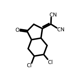 N#CC(C#N)=C1CC(=O)C2CC(Cl)C(Cl)CC12